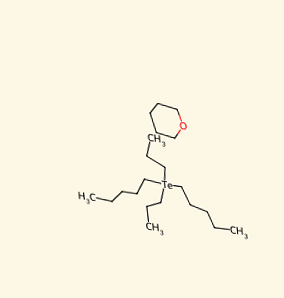 C1CCOCC1.CCCCC[Te](CCC)(CCC)CCCCC